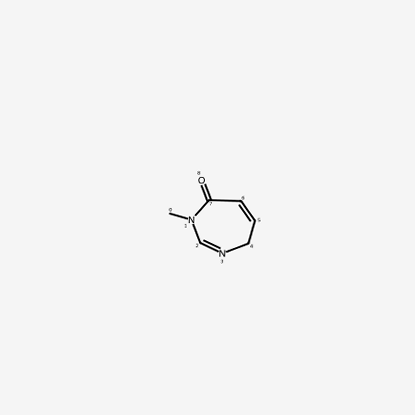 CN1C=NCC=CC1=O